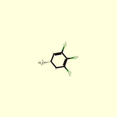 C[C@@H]1C=C(Cl)C(Cl)=C(Cl)C1